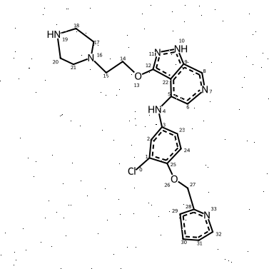 Clc1cc(Nc2cncc3[nH]nc(OCCN4CCNCC4)c23)ccc1OCc1ccccn1